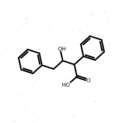 O=C(O)C(c1ccccc1)C(O)Cc1ccccc1